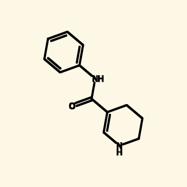 O=C(Nc1ccccc1)C1=CNCCC1